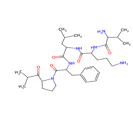 CC(C)CC(NC(=O)C(CCCN)NC(=O)C(N)C(C)C)C(=O)NC(Cc1ccccc1)C(=O)N1CCCC1C(=O)C(C)C